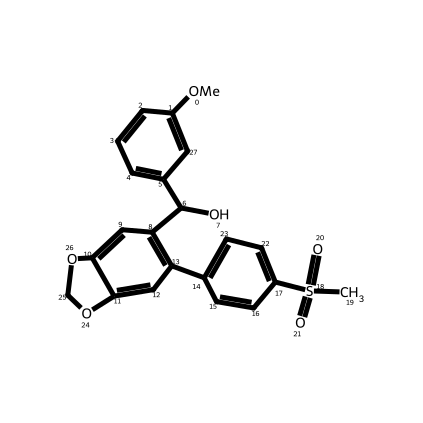 COc1cccc(C(O)c2cc3c(cc2-c2ccc(S(C)(=O)=O)cc2)OCO3)c1